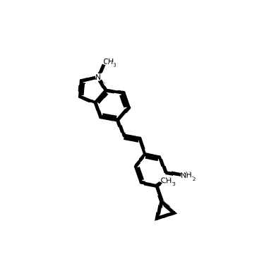 CC(\C=C/C(/C=C/c1ccc2c(ccn2C)c1)=C\CN)C1CC1